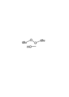 CC(C)(C)OOC(C)(C)C.CO